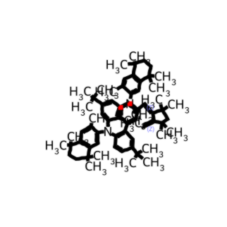 C=C(/C=C1\C(=C/C)C(C)(C)CC1(C)C)N(c1cc2c(cc1C)C(C)(C)CCC2(C)C)c1cc(C(C)(C)C)cc(N(c2cc3c(cc2C)C(C)(C)CCC3(C)C)c2ccc(C(C)(C)C)cc2-c2ccccc2)c1C